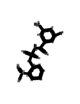 Cc1nc(Cl)cc(C(=O)NS(=O)(=O)Cc2ccccc2[N+](=O)[O-])n1